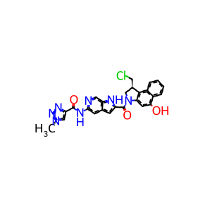 Cn1cc(C(=O)Nc2cc3cc(C(=O)N4C[C@@H](CCl)c5c4cc(O)c4ccccc54)[nH]c3cn2)nn1